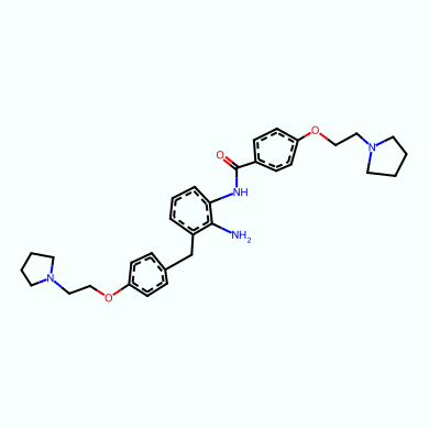 Nc1c(Cc2ccc(OCCN3CCCC3)cc2)cccc1NC(=O)c1ccc(OCCN2CCCC2)cc1